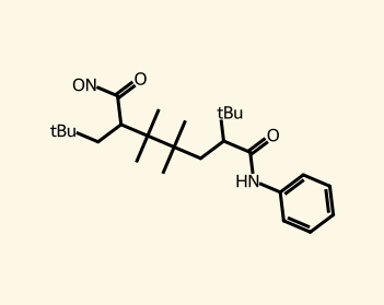 CC(C)(C)CC(C(=O)N=O)C(C)(C)C(C)(C)CC(C(=O)Nc1ccccc1)C(C)(C)C